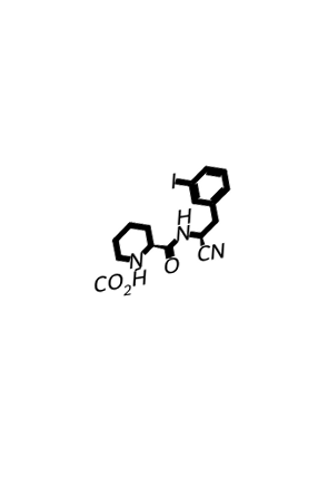 N#C[C@H](Cc1cccc(I)c1)NC(=O)[C@@H]1CCCCN1C(=O)O